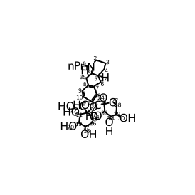 CCCN1CCC[C@@H]2Cc3c(ccc(OC4(C(=O)O)OCC(O)C(O)C4O)c3OC3(C(=O)O)OCC(O)C(O)C3O)C[C@H]21